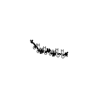 Cc1cc(C(=O)NCCC(=O)Nc2cn(C)c(C(=O)Nc3cc(C(=O)Nc4cn(C)c(C(=O)NCCC(=O)NCCCN(C)C)n4)n(C)c3)n2)n(C)c1